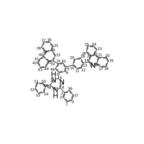 c1ccc(C2=NC(c3cc(-c4ccc(-c5nc6ccccc6c6ccccc56)cc4)cc(-c4cc5ccccc5c5ccccc45)c3)NC(c3ccccc3)N2)cc1